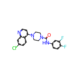 O=C(Nc1ccc(F)c(F)c1)N1CCN(c2ccnc3cc(Cl)ccc23)CC1